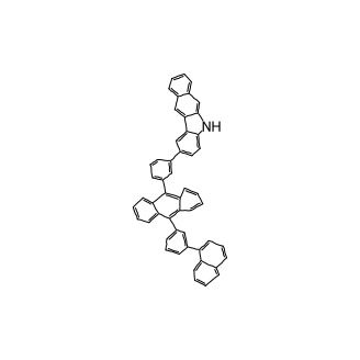 c1cc(-c2ccc3[nH]c4cc5ccccc5cc4c3c2)cc(-c2c3ccccc3c(-c3cccc(-c4cccc5ccccc45)c3)c3ccccc23)c1